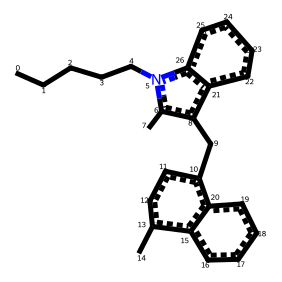 CCCCCn1c(C)c(Cc2ccc(C)c3ccccc23)c2ccccc21